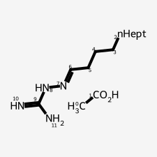 CC(=O)O.CCCCCCCCCCC=NNC(=N)N